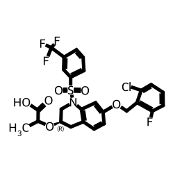 CC(O[C@@H]1Cc2ccc(OCc3c(F)cccc3Cl)cc2N(S(=O)(=O)c2cccc(C(F)(F)F)c2)C1)C(=O)O